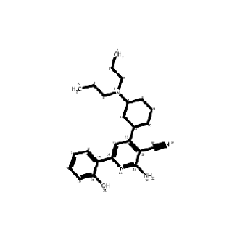 CCCN(CCC)C1CCCC(c2cc(-c3ccccc3O)nc(N)c2C#N)C1